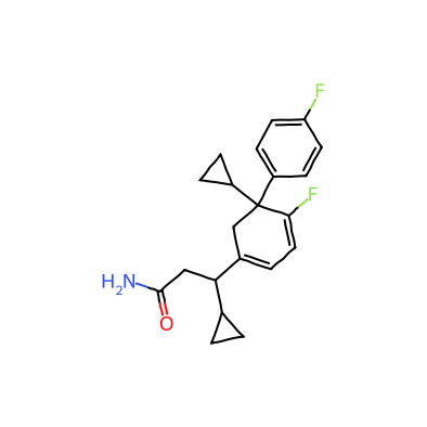 NC(=O)CC(C1=CC=C(F)C(c2ccc(F)cc2)(C2CC2)C1)C1CC1